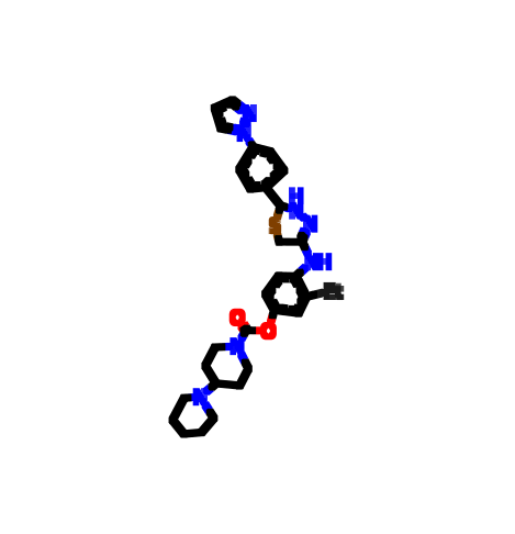 CCc1cc(OC(=O)N2CCC(N3CCCCC3)CC2)ccc1NC1=NNC(c2ccc(-n3cccn3)cc2)SC1